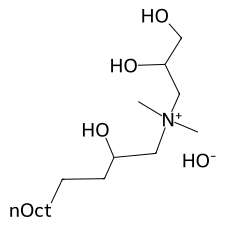 CCCCCCCCCCC(O)C[N+](C)(C)CC(O)CO.[OH-]